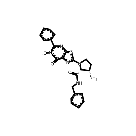 Cn1c(-c2ccccc2)nc2sc(N3CC[C@H](N)[C@@H]3C(=O)NCc3ccccc3)nc2c1=O